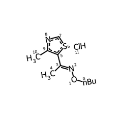 CCCCON=C(C)c1scnc1C.Cl